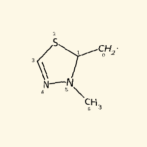 [CH2]C1SC=NN1C